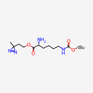 CC1(CCOC(=O)[C@@H](N)CCCCNC(=O)OC(C)(C)C)N=N1